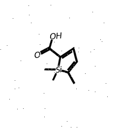 CC1=CC=C(C(=O)O)[Si]1(C)C